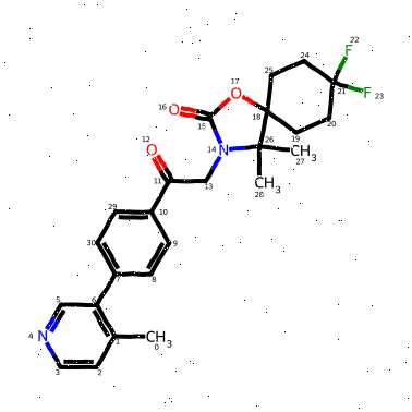 Cc1ccncc1-c1ccc(C(=O)CN2C(=O)OC3(CCC(F)(F)CC3)C2(C)C)cc1